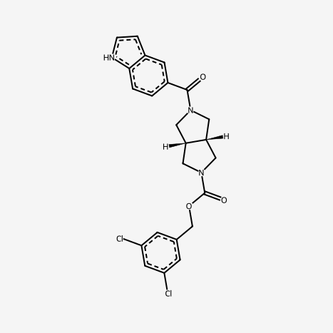 O=C(OCc1cc(Cl)cc(Cl)c1)N1C[C@@H]2CN(C(=O)c3ccc4[nH]ccc4c3)C[C@@H]2C1